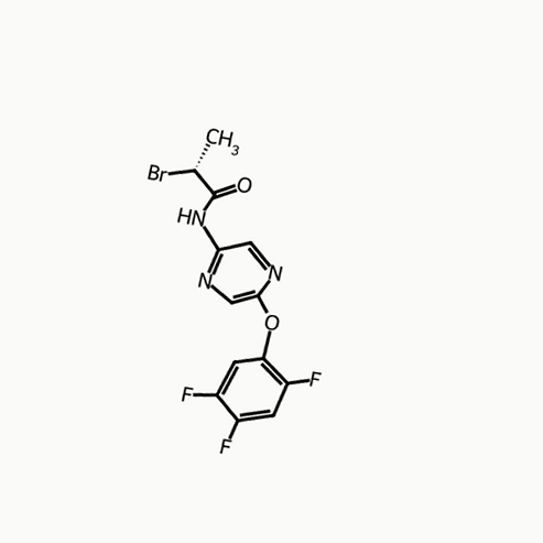 C[C@@H](Br)C(=O)Nc1cnc(Oc2cc(F)c(F)cc2F)cn1